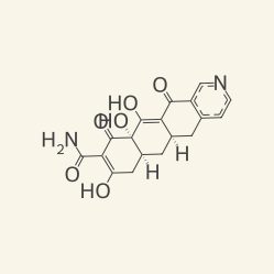 NC(=O)C1=C(O)C[C@@H]2C[C@@H]3Cc4ccncc4C(=O)C3=C(O)[C@]2(O)C1=O